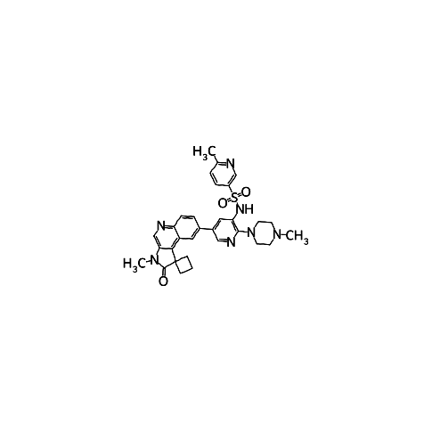 Cc1ccc(S(=O)(=O)Nc2cc(-c3ccc4ncc5c(c4c3)C3(CCC3)C(=O)N5C)cnc2N2CCN(C)CC2)cn1